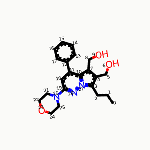 CCCc1c(CO)c(CO)c2c(-c3ccccc3)cc(N3CCOCC3)nn12